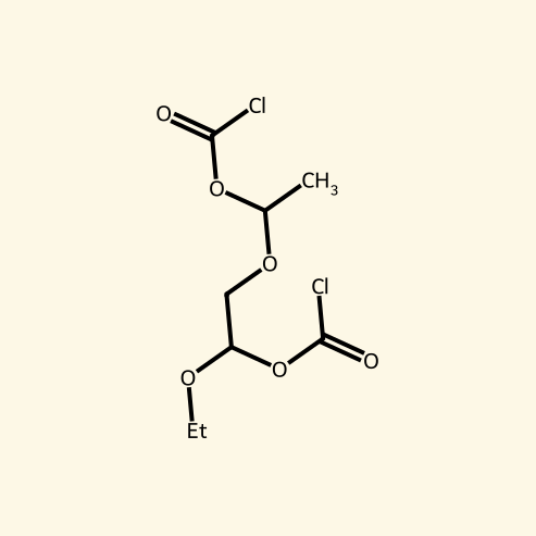 CCOC(COC(C)OC(=O)Cl)OC(=O)Cl